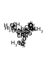 Cc1nc2c(N3[C@@H](C)CN(C(=O)OC(C)(C)C)C[C@@H]3C)nc(OC[C@@H]3CCCN3C)nc2c(=O)n1-c1cn(C)c2ccccc12